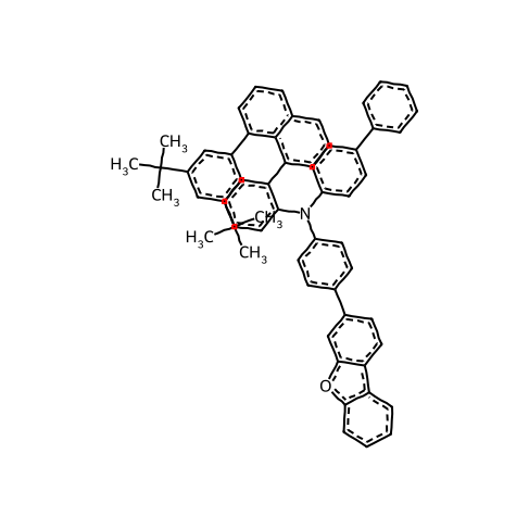 CC(C)(C)c1cc(-c2cccc3cccc(-c4ccccc4N(c4ccc(-c5ccccc5)cc4)c4ccc(-c5ccc6c(c5)oc5ccccc56)cc4)c23)cc(C(C)(C)C)c1